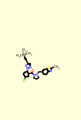 Cc1nc2ccc(CN3CCCN3C(=O)c3cc(Cl)ccc3-n3ncc(C#C[Si](C)(C)C)n3)cc2s1